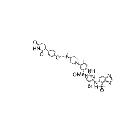 COc1cc(N2CCC(N(C)CCOc3ccc(C4CCC(=O)NC4=O)cc3)CC2)c(C)cc1Nc1ncc(Br)c(Nc2ccc3nccnc3c2P(C)(C)=O)n1